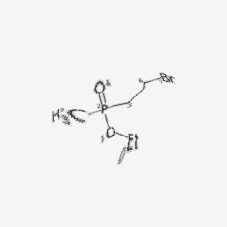 CCOP(C)(=O)CCBr